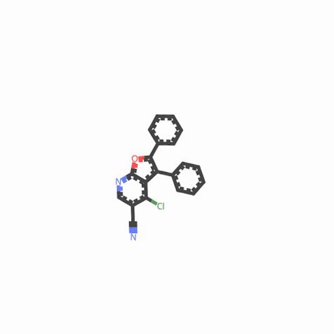 N#Cc1cnc2oc(-c3ccccc3)c(-c3ccccc3)c2c1Cl